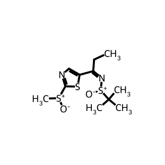 CC/C(=N/[S@+]([O-])C(C)(C)C)c1cnc([S+](C)[O-])s1